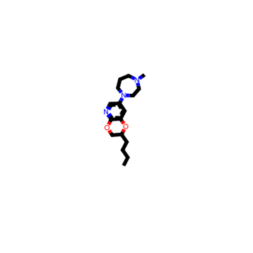 CCCCC1COc2ncc(N3CCCN(C)CC3)cc2O1